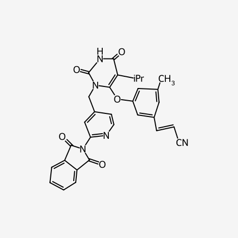 Cc1cc(C=CC#N)cc(Oc2c(C(C)C)c(=O)[nH]c(=O)n2Cc2ccnc(N3C(=O)c4ccccc4C3=O)c2)c1